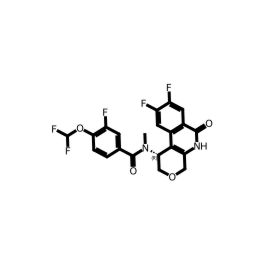 CN(C(=O)c1ccc(OC(F)F)c(F)c1)[C@H]1COCc2[nH]c(=O)c3cc(F)c(F)cc3c21